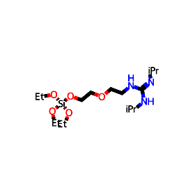 CCO[Si](OCC)(OCC)OCCOCCN/C(=N\C(C)C)NC(C)C